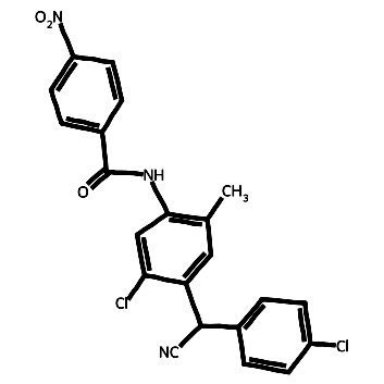 Cc1cc(C(C#N)c2ccc(Cl)cc2)c(Cl)cc1NC(=O)c1ccc([N+](=O)[O-])cc1